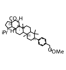 COOCc1ccc([C@H]2CC[C@@]3(C)C(CC[C@]4(C)C3CC[C@@H]3C5[C@H](C(C)C)CC[C@]5(C(=O)O)CC[C@]34C)C2(C)C)cc1